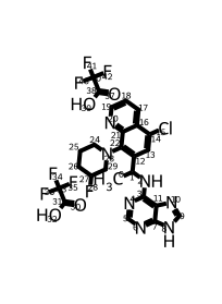 CC(Nc1ncnc2[nH]cnc12)c1cc(Cl)c2cccnc2c1N1CCCC(F)C1.O=C(O)C(F)(F)F.O=C(O)C(F)(F)F